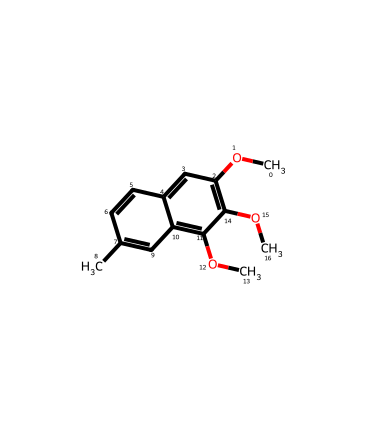 COc1cc2ccc(C)cc2c(OC)c1OC